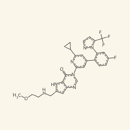 COCCNCc1cc2ncn(-c3cc(-c4ccc(F)cc4-n4nccc4C(F)(F)F)cc(C4CC4)n3)c(=O)c2[nH]1